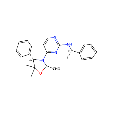 C[C@H](Nc1nccc(N2C(C=O)OC(C)(C)[C@@H]2c2ccccc2)n1)c1ccccc1